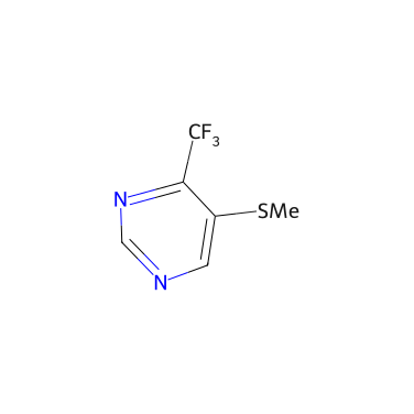 CSc1cncnc1C(F)(F)F